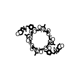 CC(C)C[C@H]1C(=O)O[C@H](Cc2ccc(Cn3cc4c(n3)CCOC4)cc2)C(=O)N(C)[C@@H](CC(C)C)C(=O)O[C@H](C)C(=O)N(C)[C@@H](CC(C)C)C(=O)O[C@H](Cc2ccc(Cn3cc4c(n3)CCOC4)cc2)C(=O)N(C)[C@@H](CC(C)C)C(=O)O[C@H](C)C(=O)N1C